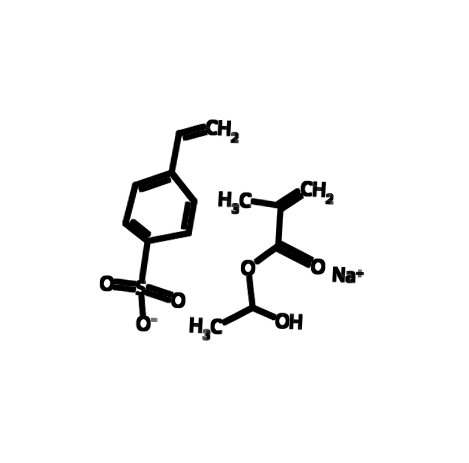 C=C(C)C(=O)OC(C)O.C=Cc1ccc(S(=O)(=O)[O-])cc1.[Na+]